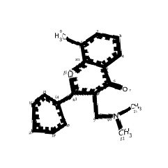 Cc1cccc2c(=O)c(CN(C)C)c(-c3ccccc3)oc12